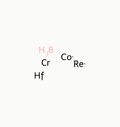 B.[Co].[Cr].[Hf].[Re]